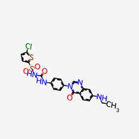 CCNc1ccc2c(=O)n(-c3ccc(NC(=O)NS(=O)(=O)c4ccc(Cl)s4)cc3)cnc2c1